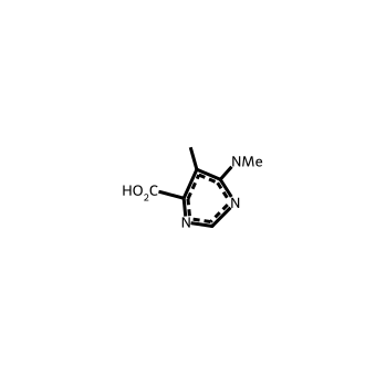 CNc1ncnc(C(=O)O)c1C